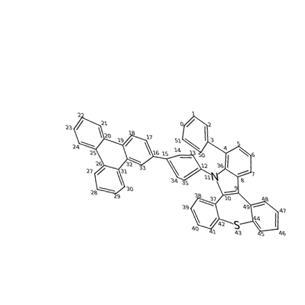 c1ccc(-c2cccc3c4c(n(-c5ccc(-c6ccc7c8ccccc8c8ccccc8c7c6)cc5)c23)-c2ccccc2Sc2ccccc2-4)cc1